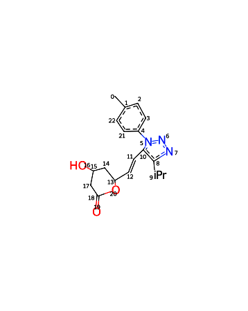 Cc1ccc(-n2nnc(C(C)C)c2C=CC2CC(O)CC(=O)O2)cc1